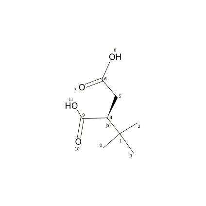 CC(C)(C)[C@H](CC(=O)O)C(=O)O